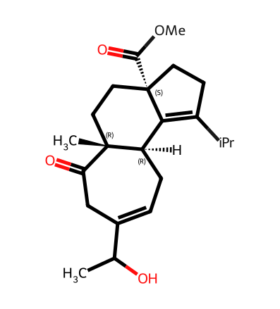 COC(=O)[C@]12CCC(C(C)C)=C1[C@H]1CC=C(C(C)O)CC(=O)[C@]1(C)CC2